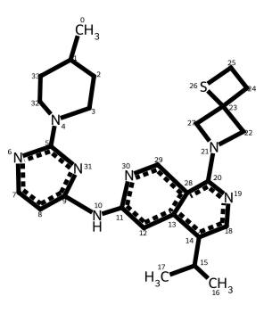 CC1CCN(c2nccc(Nc3cc4c(C(C)C)cnc(N5CC6(CCS6)C5)c4cn3)n2)CC1